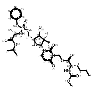 CCCC[C@H](NC(=O)OC)C(=O)OCn1c(=O)ccn([C@@H]2O[C@H](COP(=O)(N[C@@H](C)C(=O)OC(C)C)Oc3ccccc3)[C@@H](O)[C@@]2(C)F)c1=O